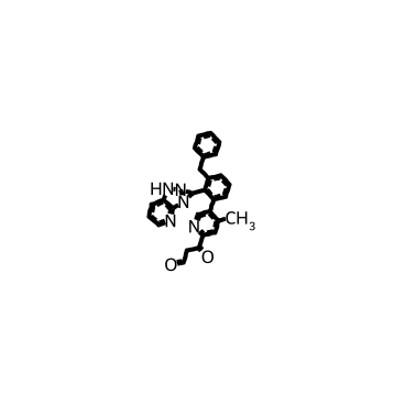 Cc1cc(C(=O)CC=O)ncc1-c1cccc(Cc2ccccc2)c1C1N2Nc3cccnc3N12